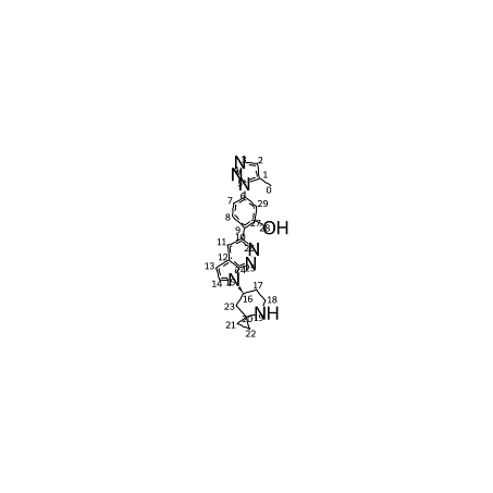 Cc1cnnn1-c1ccc(-c2cc3ccn([C@H]4CCNC5(CC5)C4)c3nn2)c(O)c1